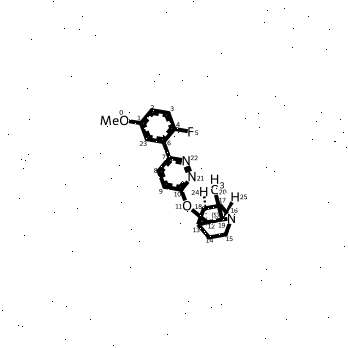 COc1ccc(F)c(-c2ccc(O[C@@H]3C4CCN(CC4)[C@H]3C)nn2)c1